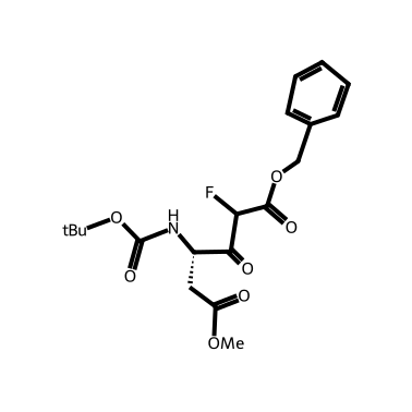 COC(=O)C[C@H](NC(=O)OC(C)(C)C)C(=O)C(F)C(=O)OCc1ccccc1